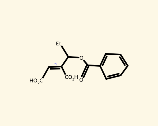 CCC(OC(=O)c1ccccc1)/C(=C/C(=O)O)C(=O)O